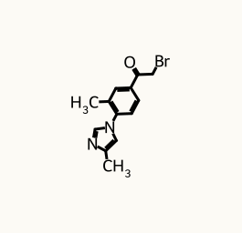 Cc1cn(-c2ccc(C(=O)CBr)cc2C)cn1